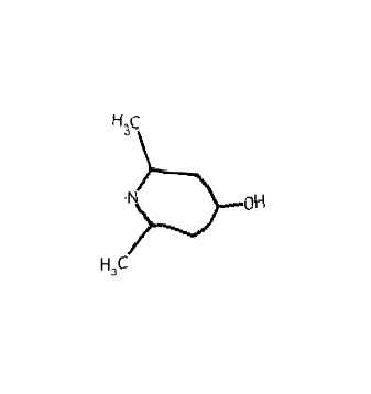 CC1CC(O)CC(C)[N]1